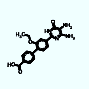 CCOc1cc(-c2nc(N)c(N)c(=O)[nH]2)ccc1-c1ccc(C(=O)O)cc1